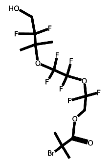 CC(C)(Br)C(=O)OCC(F)(F)OC(F)(F)C(F)(F)OC(C)(C)C(F)(F)CO